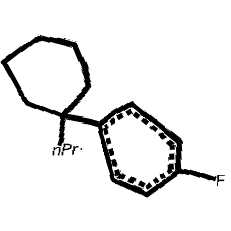 CC[CH]C1(c2ccc(F)cc2)CCCCC1